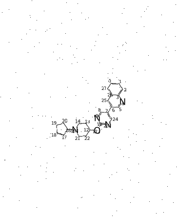 c1ccc2ncc(-c3cnc(OC4CCN(C5CCCC5)CC4)nc3)cc2c1